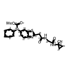 COC(=O)N(c1ccccc1)c1ccc2nc(CC(=O)NCC(=O)NC3(C#N)CC3)sc2c1